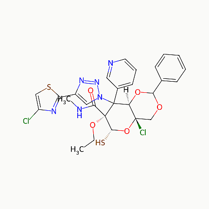 CCO[C@@]1(C(=O)NC)[C@@H](S)O[C@@]2(Cl)COC(c3ccccc3)O[C@@H]2C1(c1cccnc1)n1cc(-c2nc(Cl)cs2)nn1